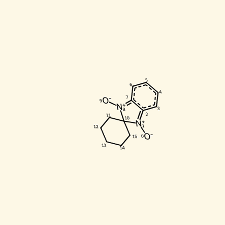 [O-][N+]1=c2ccccc2=[N+]([O-])C12CCCCC2